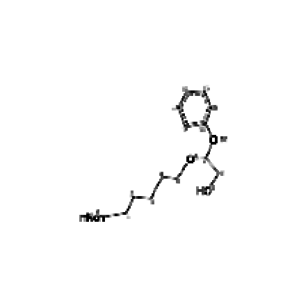 CCCCCCCCCCCCCCOC(CO)Oc1ccccc1